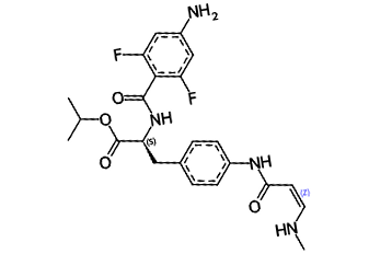 CN/C=C\C(=O)Nc1ccc(C[C@H](NC(=O)c2c(F)cc(N)cc2F)C(=O)OC(C)C)cc1